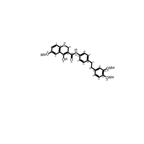 COc1ccc2c(c1)C(O)=C(C(=O)Nc1ccc(CCc3ccc(OC)c(OC)c3)cc1)CS2